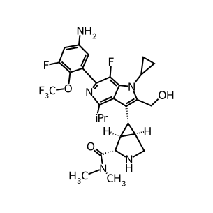 CC(C)c1nc(-c2cc(N)cc(F)c2OC(F)(F)F)c(F)c2c1c([C@@H]1[C@H]3CN[C@H](C(=O)N(C)C)[C@H]31)c(CO)n2C1CC1